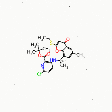 CCSc1cc(=O)c2cc(C)cc([C@@H](C)Nc3ccc(Cl)nc3C(=O)OC(C)(C)C)c2o1